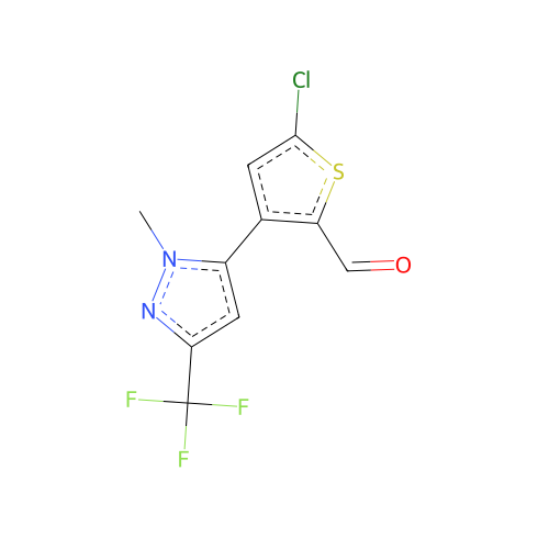 Cn1nc(C(F)(F)F)cc1-c1cc(Cl)sc1C=O